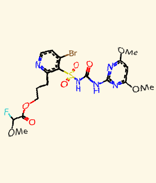 COc1cc(OC)nc(NC(=O)NS(=O)(=O)c2c(Br)ccnc2CCCOC(=O)C(F)OC)n1